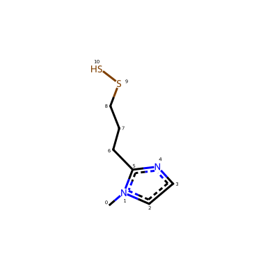 Cn1ccnc1CCCSS